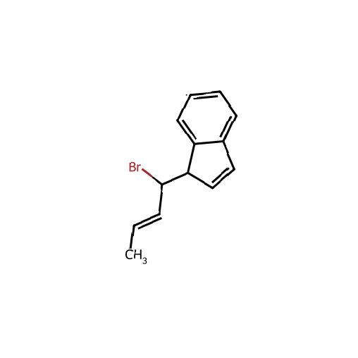 CC=CC(Br)C1C=Cc2cc[c]cc21